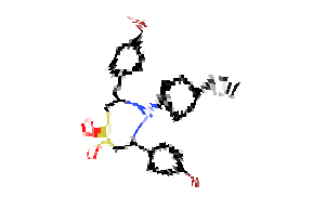 CC(C)(C)c1ccc(N2C(c3ccc(Br)cc3)CS(=O)(=O)CC2c2ccc(Br)cc2)cc1